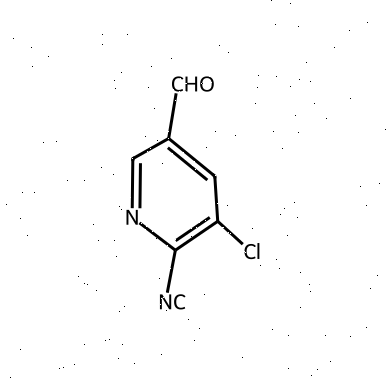 [C-]#[N+]c1ncc(C=O)cc1Cl